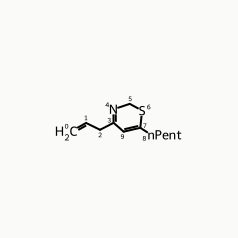 C=CCC1=NCSC(CCCCC)=C1